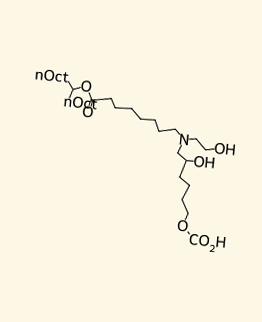 CCCCCCCCC(CCCCCCCC)OC(=O)CCCCCCCN(CCO)CC(O)CCCCOC(=O)O